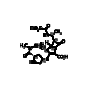 CCOC(=O)C(=O)N[C@H](C)[C@H]1C(=O)N2C(C(=O)O)=C(S[C@@H]3CN[C@H](C(=O)N(C)C)C3)[C@H](C)[C@H]12